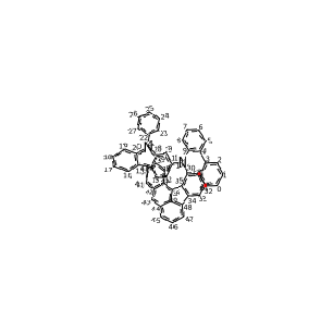 c1ccc(-c2ccccc2N(c2ccc3c4ccccc4n(-c4ccccc4)c3c2)c2cccc3c2-c2c4ccccc4cc4cccc-3c24)cc1